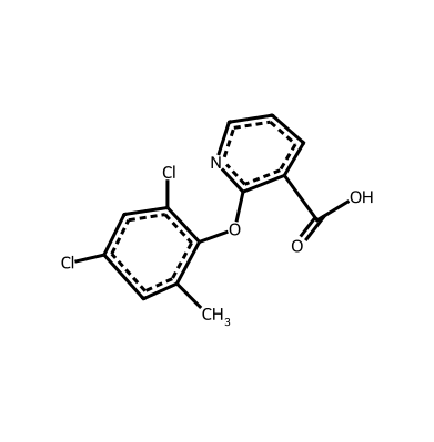 Cc1cc(Cl)cc(Cl)c1Oc1ncccc1C(=O)O